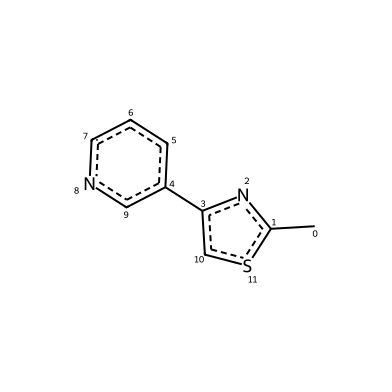 Cc1nc(-c2cc[c]nc2)cs1